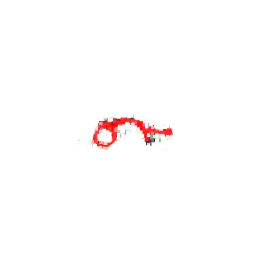 CC(=O)O[C@@H]1[C@H](C)C/C=C/O[C@@]2(C)Oc3c(C)c(O)c4c(=O)c(c5oc6cc(N7CCC(CNC(=O)OCc8ccc(NC(=O)[C@H](CCCNC(N)=O)NC(=O)CNC(=O)CCCCCN9C(=O)C=CC9=O)cc8)CC7)cc(O)c6nc-5c4c3C2=O)NC(=O)/C(C)=C\C=C\[C@H](C)C[C@@H](C)C[C@H]1C